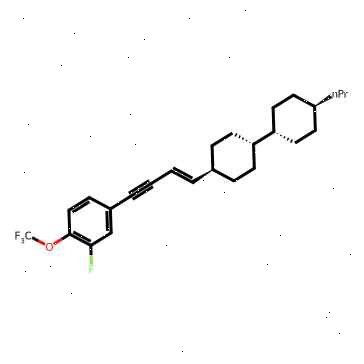 CCC[C@H]1CC[C@H]([C@H]2CC[C@H](C=CC#Cc3ccc(OC(F)(F)F)c(F)c3)CC2)CC1